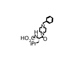 CC(C)C[C@H](NC(=O)O)C(=O)N1CCN(Cc2ccccc2)CC1